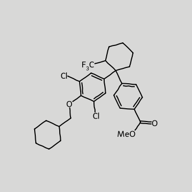 COC(=O)c1ccc(C2(c3cc(Cl)c(OCC4CCCCC4)c(Cl)c3)CCCCC2C(F)(F)F)cc1